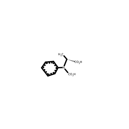 C[C@H](C(=O)O)N(C(=O)O)c1ccccc1